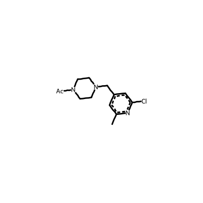 CC(=O)N1CCN(Cc2cc(C)nc(Cl)c2)CC1